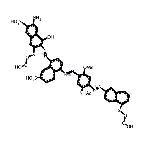 COc1cc(/N=N/c2ccc3c(SOOO)cccc3c2)c(NC(C)=O)cc1/N=N/c1ccc(/N=N/c2c(SOOO)cc3cc(S(=O)(=O)O)c(N)cc3c2O)c2cc(S(=O)(=O)O)ccc12